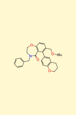 CC(C)(C)OCc1ccc2c(c1-c1ccc3c(c1)CCCO3)C(=O)N(Cc1ccccc1)CCO2